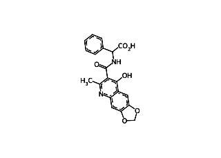 Cc1nc2cc3c(cc2c(O)c1C(=O)NC(C(=O)O)c1ccccc1)OCO3